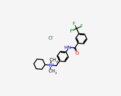 C[N+](C)(Cc1ccc(NC(=O)c2cccc(C(F)(F)F)c2)cc1)C1CCCCC1.[Cl-]